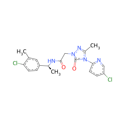 Cc1cc([C@H](C)NC(=O)Cn2nc(C)n(-c3ccc(Cl)cn3)c2=O)ccc1Cl